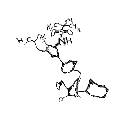 CC(C)Cc1cc(-c2ccc(Cn3c(-c4ccccc4)nc(Cl)c3C=O)cc2)c(NS(=O)(=O)C(C)(C)C)s1